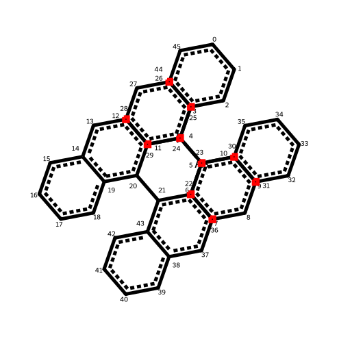 c1ccc(P(c2ccccc2)c2ccc3ccccc3c2-c2c([As](c3ccccc3)c3ccccc3)ccc3ccccc23)cc1